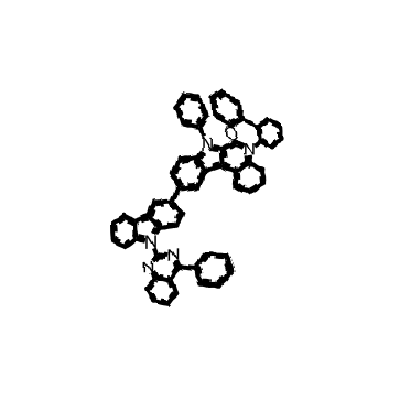 O=c1c2c(c3ccccc3n1-c1ccccc1-c1ccccc1)c1cc(-c3ccc4c(c3)c3ccccc3n4-c3nc(-c4ccccc4)c4ccccc4n3)ccc1n2-c1ccccc1